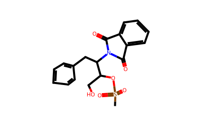 CS(=O)(=O)OC(CO)C(Cc1ccccc1)N1C(=O)c2ccccc2C1=O